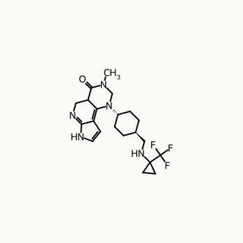 CN1CN([C@H]2CC[C@H](CNC3(C(F)(F)F)CC3)CC2)C2=c3cc[nH]c3=NCC2C1=O